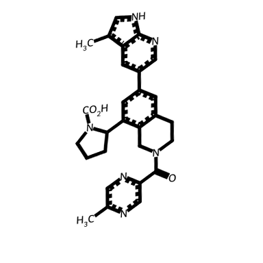 Cc1cnc(C(=O)N2CCc3cc(-c4cnc5[nH]cc(C)c5c4)cc(C4CCCN4C(=O)O)c3C2)cn1